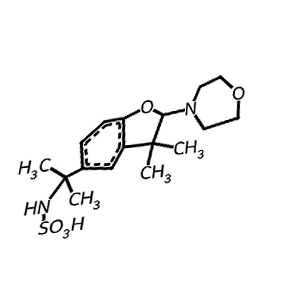 CC(C)(NS(=O)(=O)O)c1ccc2c(c1)C(C)(C)C(N1CCOCC1)O2